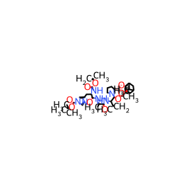 C=C(C)OC(=O)NC(Cc1cn(C(=O)OC(C)(C)C)cn1)C(=O)NC(C)C(=O)NC(C(=C)C)C(=O)N1CCCC1B1OC2C3CC(C[C@]2(C)O1)C3(C)C